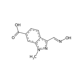 Cn1nc(C=NO)c2ccc(C(=O)O)cc21